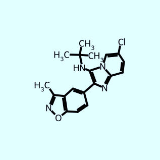 Cc1noc2ccc(-c3nc4ccc(Cl)cn4c3NC(C)(C)C)cc12